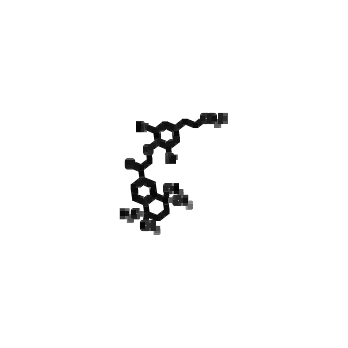 CC1(C)CCC(C)(C)c2cc(C(=O)COc3c(Br)cc(CCC(=O)O)cc3Br)ccc21